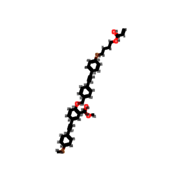 C=CC(=O)OCCCCSc1ccc(C#Cc2ccc(COc3ccc(C#Cc4ccc(SC)cc4)cc3C(=O)OC)cc2)cc1